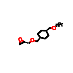 CCCOC[C@H]1CC[C@@H](COC[C@@H]2CO2)CC1